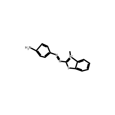 C[n+]1c(/N=N/c2ccc(N)cc2)sc2ccccc21